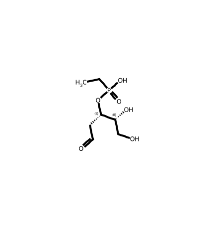 CCP(=O)(O)O[C@@H](CC=O)[C@H](O)CO